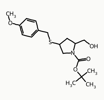 COc1ccc(CSC2CC(CO)N(C(=O)OC(C)(C)C)C2)cc1